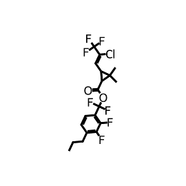 CCCc1ccc(C(F)(F)OC(=O)C2C(C=C(Cl)C(F)(F)F)C2(C)C)c(F)c1F